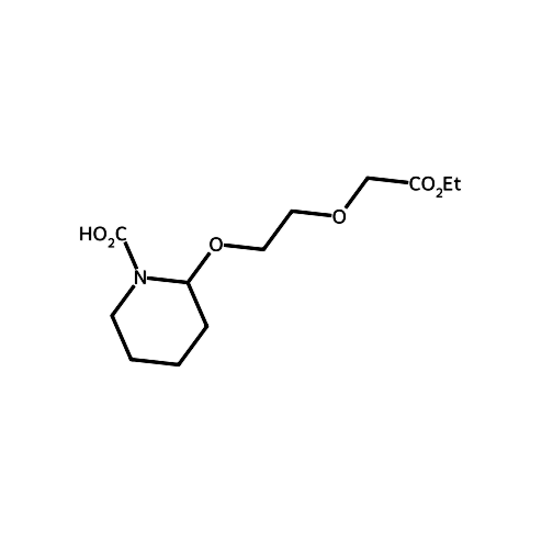 CCOC(=O)COCCOC1CCCCN1C(=O)O